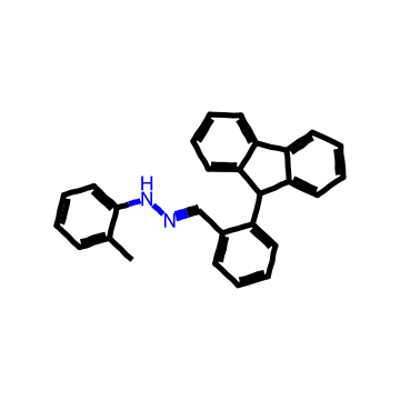 Cc1ccccc1N/N=C/c1ccccc1C1c2ccccc2-c2ccccc21